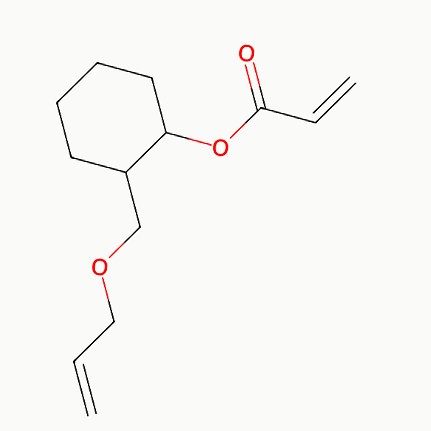 C=CCOCC1CCCCC1OC(=O)C=C